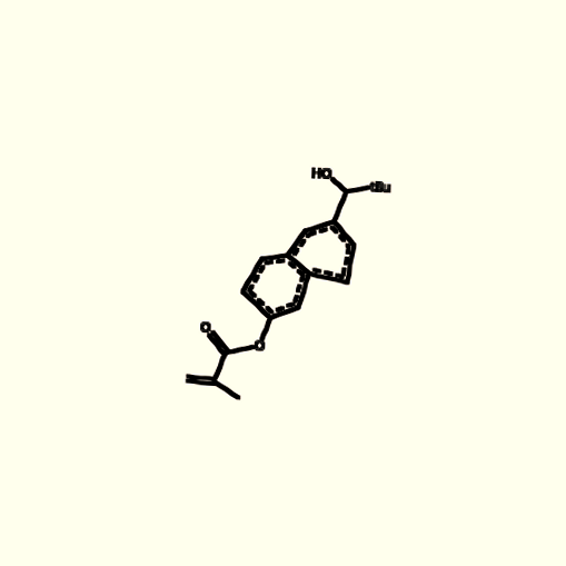 C=C(C)C(=O)Oc1ccc2cc(C(O)C(C)(C)C)ccc2c1